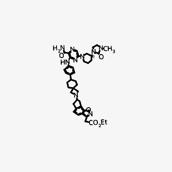 CCOC(=O)Cc1noc2c3c(ccc12)CC(N1CC2(CCC(c4ccc(Nc5nc(N6CCC[C@@H](N7CCN(C)C7=O)C6)cnc5C(N)=O)cc4)CC2)C1)C3